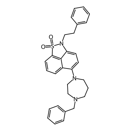 O=S1(=O)c2cccc3c(N4CCCN(Cc5ccccc5)CC4)ccc(c23)N1CCc1ccccc1